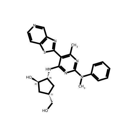 Cc1nc(N(C)c2ccccc2)nc(N[C@@H]2C[C@H](CO)C[C@H]2O)c1-c1nc2cnccc2s1